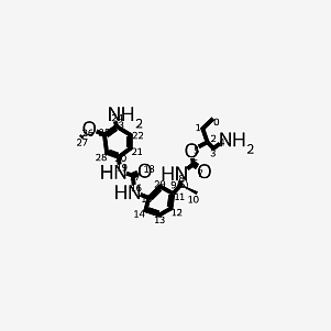 CCC(CN)OC(=O)N[C@@H](C)c1cccc(NC(=O)Nc2ccc(N)c(OC)c2)c1